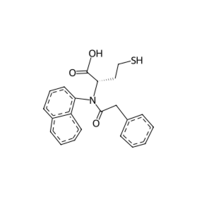 O=C(O)[C@H](CCS)N(C(=O)Cc1ccccc1)c1cccc2ccccc12